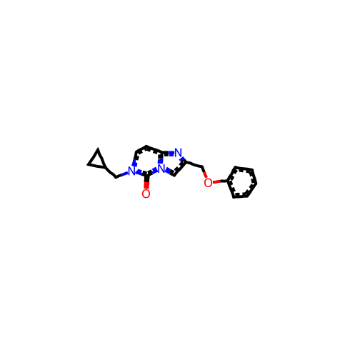 O=c1n(CC2CC2)ccc2nc(COc3ccccc3)cn12